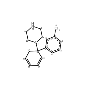 FC(F)(F)c1cccc(C2(N3CCNCC3)C=CC=CC2)c1